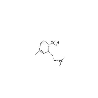 Cc1ccc(S(=O)(=O)O)c(CCN(C)C)c1